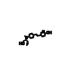 CN(c1ccc(/C=C/c2ccc(O)nc2)cc1)C(CO)CF